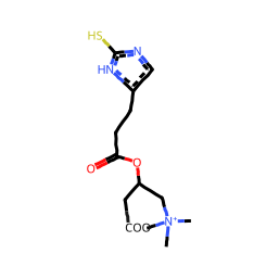 C[N+](C)(C)CC(CC(=O)[O-])OC(=O)CCc1cnc(S)[nH]1